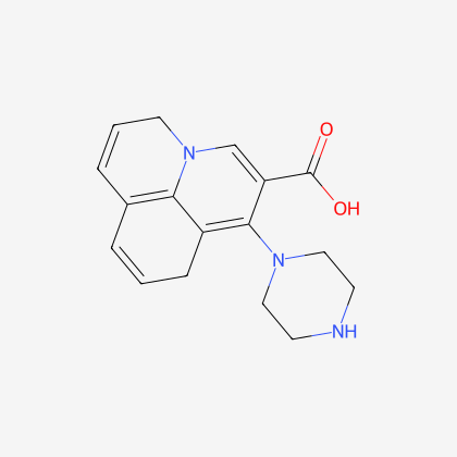 O=C(O)C1=CN2CC=CC3=C2C(=C1N1CCNCC1)CC=C3